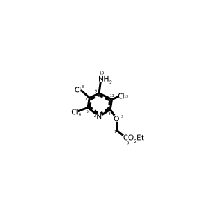 CCOC(=O)COc1nc(Cl)c(Cl)c(N)c1Cl